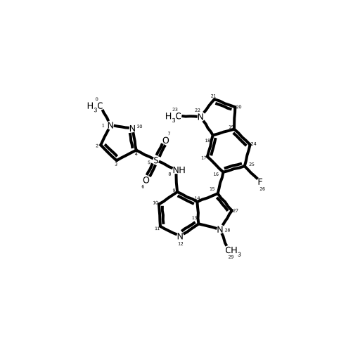 Cn1ccc(S(=O)(=O)Nc2ccnc3c2c(-c2cc4c(ccn4C)cc2F)cn3C)n1